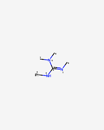 C/N=C(/NC(C)C)N(C)C